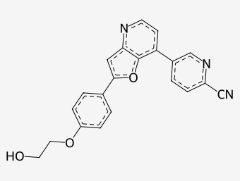 N#Cc1ccc(-c2ccnc3cc(-c4ccc(OCCO)cc4)oc23)cn1